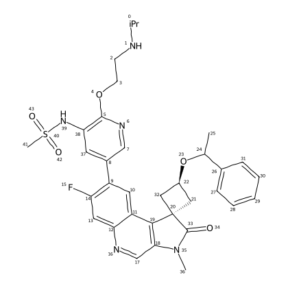 CC(C)NCCOc1ncc(-c2cc3c(cc2F)ncc2c3[C@]3(C[C@H](OC(C)c4ccccc4)C3)C(=O)N2C)cc1NS(C)(=O)=O